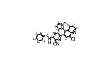 Cn1ccc(-c2nc(NCc3ccccc3)c(C#N)nc2-c2cc(Cl)c3ncccc3c2)n1